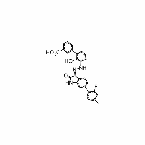 Cc1ccc(-c2ccc3c(c2)NC(=O)C3=NNc2cccc(-c3cccc(C(=O)O)c3)c2O)c(F)c1